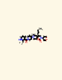 CCCC[C@H]1CN(C2CCOCC2)C(=O)OC12CCN(C1(C)CCN(C(=O)C3C(C)CCNC3C)CC1)CC2